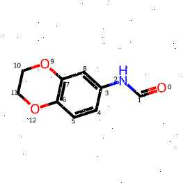 O=[C]Nc1ccc2c(c1)OCCO2